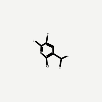 Clc1cc(C(Cl)Cl)c(Cl)nc1Cl